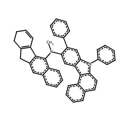 CN(c1cc2c3c4ccccc4ccc3n(-c3ccccc3)c2cc1-c1ccccc1)c1c2c(cc3ccccc13)CC1=C2C=CCC1